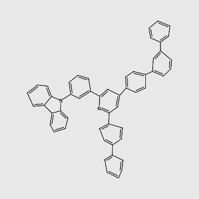 c1ccc(-c2ccc(-c3cc(-c4ccc(-c5cccc(-c6ccccc6)c5)cc4)cc(-c4cccc(-n5c6ccccc6c6ccccc65)c4)n3)cc2)cc1